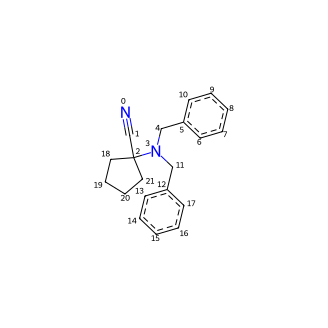 N#CC1(N(Cc2ccccc2)Cc2ccccc2)CCCC1